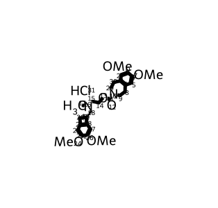 COc1cc2c(cc1OC)CCN(C(=O)OCCN(C)C[C@@H]1Cc3cc(OC)c(OC)cc31)CC2.Cl